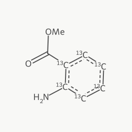 COC(=O)[13c]1[13cH][13cH][13cH][13cH][13c]1N